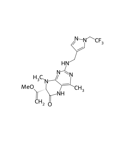 C=C(OC)[C@H]1C(=O)Nc2c(C)nc(NCc3cnn(CC(F)(F)F)c3)nc2N1C